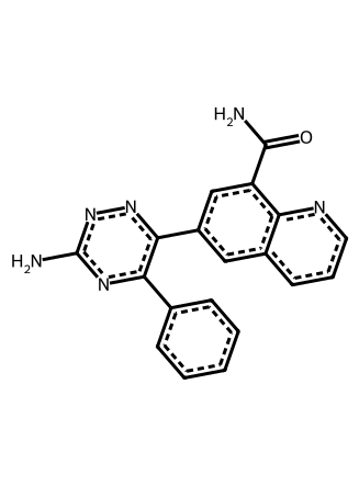 NC(=O)c1cc(-c2nnc(N)nc2-c2ccccc2)cc2cccnc12